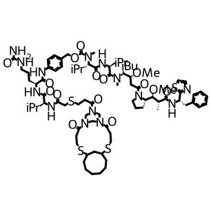 CC[C@H](C)[C@@H]([C@@H](CC(=O)N1CCC[C@H]1[C@H](OC)[C@@H](C)C(=O)N[C@@H](Cc1ccccc1)c1nccs1)OC)N(C)C(=O)[C@@H](NC(=O)[C@H](C(C)C)N(C)C(=O)OCc1ccc(NC(=O)[C@H](CCCNC(N)=O)NC(=O)[C@@H](NC(=O)CSCCC(=O)N2CN3CN(C2)C(=O)CCSC2CCCCCCC(C2)SCCC3=O)C(C)C)cc1)C(C)C